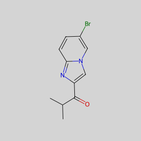 CC(C)C(=O)c1cn2cc(Br)ccc2n1